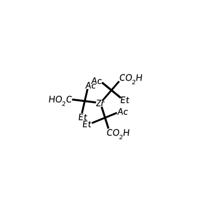 CC[C](C(C)=O)(C(=O)O)[Zr]([C](CC)(C(C)=O)C(=O)O)[C](CC)(C(C)=O)C(=O)O